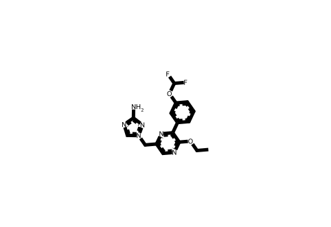 CCOc1ncc(Cn2cnc(N)n2)nc1-c1cccc(OC(F)F)c1